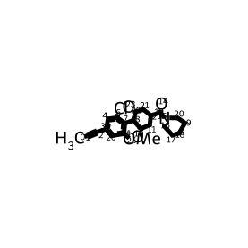 CC#Cc1cc(Cl)c(C2C(=O)CC(C(=O)N3CCCCC3)CC2=O)c(OC)c1